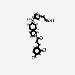 O=C(CCc1ccc(Cl)cc1Cl)N1CCC2(CCC(Nc3cnn(CCO)c3)CC2)C1